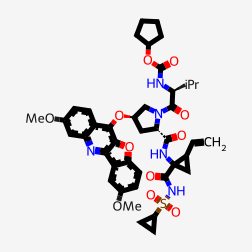 C=CC1CC1(NC(=O)[C@@H]1C[C@@H](Oc2c3ccc(OC)cc3nc3c2oc2ccc(OC)cc23)CN1C(=O)[C@@H](NC(=O)OC1CCCC1)C(C)C)C(=O)NS(=O)(=O)C1CC1